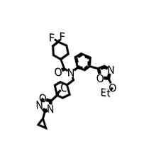 CCOc1ncc(-c2cccc(N(CC34CCC(c5nc(C6CC6)no5)(CC3)CC4)C(=O)C3CCC(F)(F)CC3)c2)o1